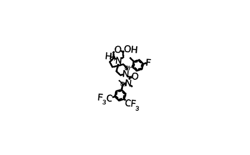 Cc1cc(F)ccc1[C@H]1CC2(CC[C@H]3COC(O)CN32)CCN1C(=O)N(C)[C@H](C)c1cc(C(F)(F)F)cc(C(F)(F)F)c1